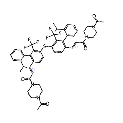 CC(=O)N1CCN(C(=O)/C=C/c2ccc(Sc3ccc(/C=C/C(=O)N4CCN(C(C)=O)CC4)c(-c4ccccc4C(C)C)c3C(F)(F)F)c(C(F)(F)F)c2-c2ccccc2C(C)C)CC1